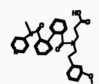 COc1cccc(CCN(CCC(=O)O)C(=O)c2ccccc2-c2ccccc2C(=O)N(C)c2ccncc2)c1